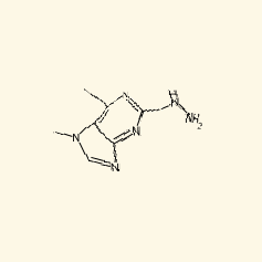 Cc1nc(NN)nc2ncn(C)c12